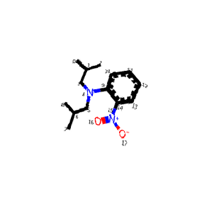 CC(C)CN(CC(C)C)c1cc[c]cc1[N+](=O)[O-]